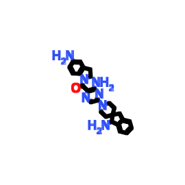 Nc1ccc2c(c1)CCN2C(=O)c1ncc(N2CCC3(CC2)Cc2ccccc2C3N)nc1N